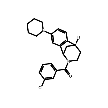 O=C(c1cccc(Cl)c1)N1CC[C@@H]2CC1c1cc(N3CCCCC3)ccc12